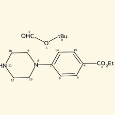 CC(C)(C)OC=O.CCOC(=O)c1ccc(N2CCNCC2)cc1